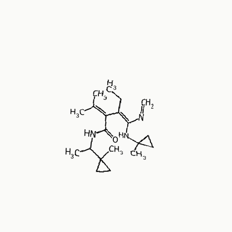 C=N/C(NC1(C)CC1)=C(\CC)C(C(=O)NC(C)C1(C)CC1)=C(C)C